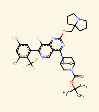 CC(C)(C)OC(=O)N1CC2CCC1CN2c1nc(OCC23CCCN2CCC3)nc2c(F)c(-c3cc(O)cc(Cl)c3C(F)(F)F)ncc12